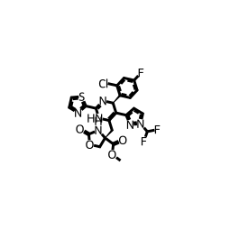 COC(=O)[C@]1(CC2=C(c3ccn(C(F)F)n3)[C@H](c3ccc(F)cc3Cl)N=C(c3nccs3)N2)COC(=O)N1